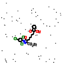 CCOC(=O)C1=NN(c2c(Cl)cc(Cl)cc2Cl)C(=O)/C1=C\C=CC=CC1=C(O)c2ccccc2C1=O